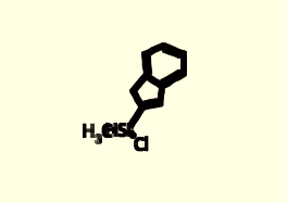 C[SiH](Cl)C1=Cc2ccccc2C1